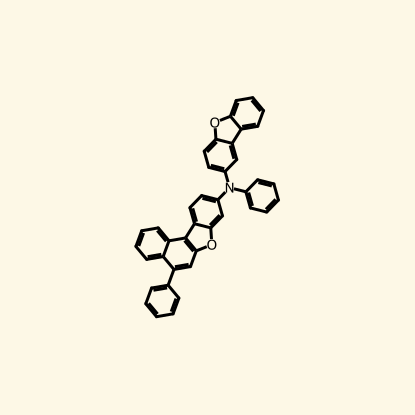 c1ccc(-c2cc3oc4cc(N(c5ccccc5)c5ccc6oc7ccccc7c6c5)ccc4c3c3ccccc23)cc1